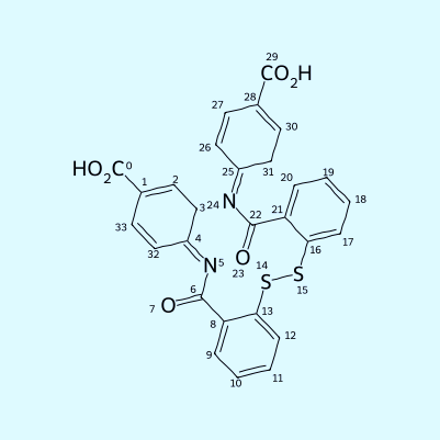 O=C(O)C1=CCC(=NC(=O)c2ccccc2SSc2ccccc2C(=O)N=C2C=CC(C(=O)O)=CC2)C=C1